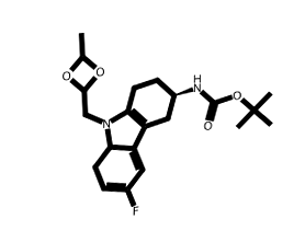 CC1OC(CN2C3=C(C[C@H](NC(=O)OC(C)(C)C)CC3)C3=CC(F)=CCC32)O1